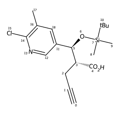 C#CC[C@@H](C(=O)O)[C@H](O[Si](C)(C)C(C)(C)C)c1cnc(Cl)c(C)c1